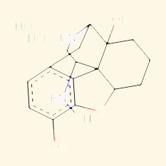 CNC1CNC2Cc3ccc(O)c4c3C13C(CCCC23O)O4.Cl.Cl